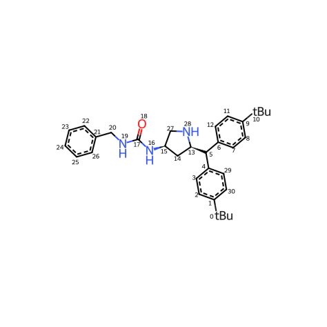 CC(C)(C)c1ccc(C(c2ccc(C(C)(C)C)cc2)[C@H]2C[C@@H](NC(=O)NCc3ccccc3)CN2)cc1